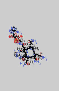 C/C1=C2/[N-][C@H]([C@H](CC(N)=O)[C@@]2(C)CCC(=O)NC[C@@H](C)OP(=O)([O-])O[C@H]2[C@@H](O)[C@@H](n3cnc4ncnc(N)c43)O[C@@H]2CO)[C@]2(C)N=C(/C(C)=C3N=C(/C=C4N=C1[C@@H](CCC(N)=O)C\4(C)C)[C@@H](CCC(N)=O)[C@]\3(C)CC(N)=O)[C@@H](CCC(N)=O)[C@]2(C)CC(N)=O.[C-]#N.[Co]